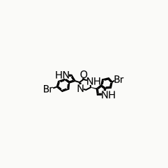 O=C1N[C@@H](c2c[nH]c3cc(Br)ccc23)CN=C1c1c[nH]c2cc(Br)ccc12